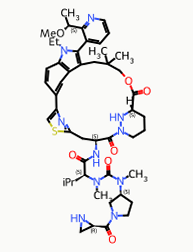 CCn1c(-c2cccnc2[C@H](C)OC)c2c3cc(ccc31)-c1csc(n1)C[C@H](NC(=O)[C@H](C(C)C)N(C)C(=O)N(C)[C@H]1CCN(C(=O)[C@H]3CN3)C1)C(=O)N1CCC[C@H](N1)C(=O)OCC(C)(C)C2